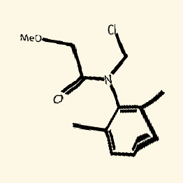 COCC(=O)N(CCl)c1c(C)cccc1C